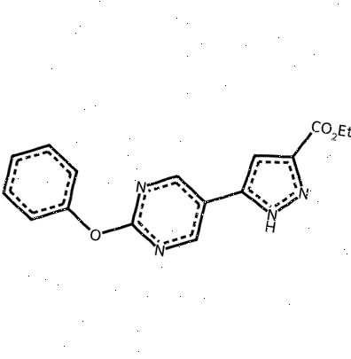 CCOC(=O)c1cc(-c2cnc(Oc3ccccc3)nc2)[nH]n1